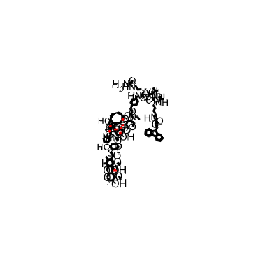 CCN(C(=O)OCc1ccc(NC(=O)[C@H](CCCNC(N)=O)NC(=O)[C@@H](NC(=O)[C@H](CCCCNC(=O)OCC2c3ccccc3-c3ccccc32)NC(C)=O)C(C)C)cc1)[C@H]1CO[C@@H](O[C@H]2[C@H](O[C@H]3C#CC=CC#C[C@]4(O)CC(=O)C(NC(=O)OC)=C3/C4=C\CSSc3ccccn3)O[C@H](C)[C@@H](NO[C@H]3C[C@H](O)[C@H](SC(=O)c4c(C)c(I)c(O[C@@H]5O[C@@H](C)[C@H](O)[C@@H](OC)[C@H]5O)c(OC)c4OC)[C@@H](C)O3)[C@@H]2O)C[C@@H]1OC